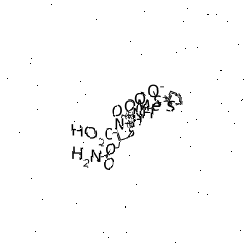 CO[C@@]1(NC(=O)C[S+]([O-])c2cccs2)C(=O)N2C(C(=O)O)=C(COC(N)=O)CS[C@H]21